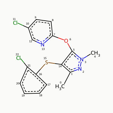 Cc1nn(C)c(Oc2ccc(Cl)cn2)c1Sc1ccccc1Cl